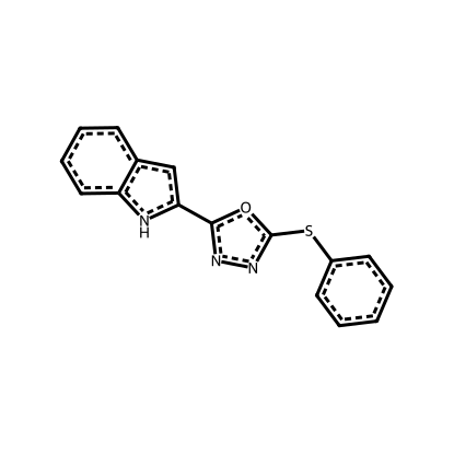 c1ccc(Sc2nnc(-c3cc4ccccc4[nH]3)o2)cc1